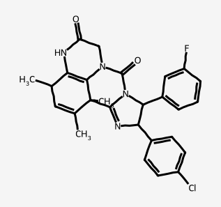 CC1=CC(C)C2=C3N(CC(=O)N2)C(=O)N2C(=NC(c4ccc(Cl)cc4)C2c2cccc(F)c2)C13C